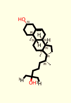 [3H]CC(O)(C[3H])CCC[C@@H](C)[C@H]1CC[C@H]2[C@@H]3CC=C4C[C@@H](O)CC[C@]4(C)[C@H]3CC[C@]12C